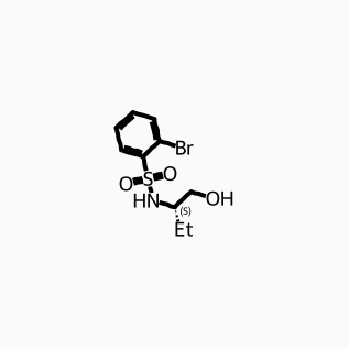 CC[C@@H](CO)NS(=O)(=O)c1ccccc1Br